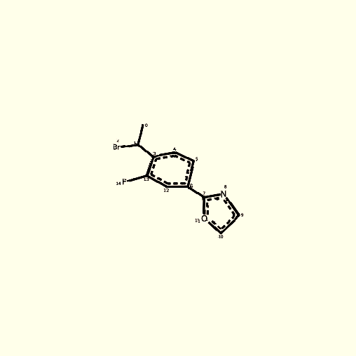 CC(Br)c1ccc(-c2ncco2)cc1F